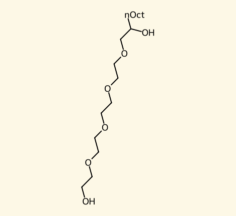 CCCCCCCCC(O)COCCOCCOCCOCCO